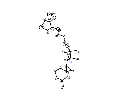 C/C(=C\C1CC12CCCC(C)C2)C(C)(C)SSCCOC1COCC1OC(C)C